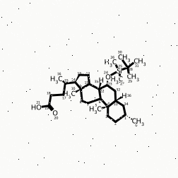 C[C@@H]1CC[C@]2(C)C3CC[C@@]4(C)C(CC[C@@H]4[C@H](C)CCC(=O)O)[C@@H]3[C@H](O[Si](C)(C)C(C)(C)C)C[C@@H]2C1